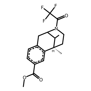 COC(=O)c1ccc2c(c1)[C@]1(C)CCN(C(=O)C(F)(F)F)C(C2)C1C